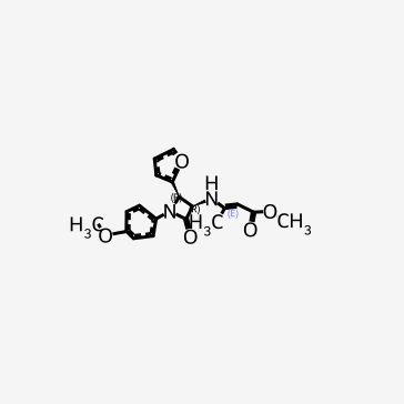 COC(=O)/C=C(\C)N[C@H]1C(=O)N(c2ccc(OC)cc2)[C@H]1c1ccco1